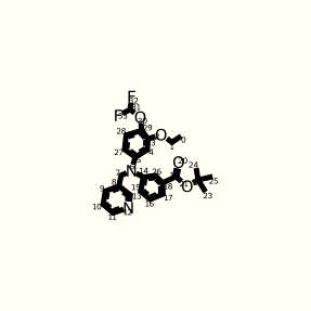 CCOc1cc(N(Cc2cccnc2)c2cccc(C(=O)OC(C)(C)C)c2)ccc1OC(F)F